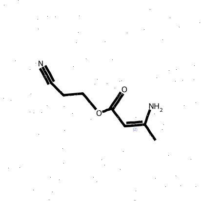 C/C(N)=C/C(=O)OCCC#N